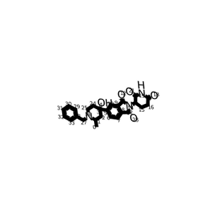 CC1CC(O)(c2ccc3c(c2)C(=O)N(C2CCC(=O)NC2=O)C3=O)CCN1Cc1ccccc1